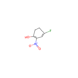 O=[N+]([O-])C1=C(O)[CH]CC(F)=C1